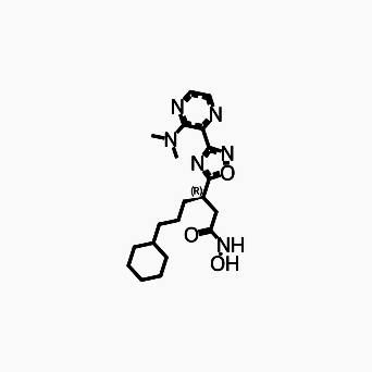 CN(C)c1nccnc1-c1noc([C@H](CCCC2CCCCC2)CC(=O)NO)n1